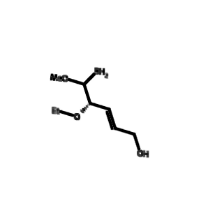 BC(OC)[C@H](/C=C/CO)OCC